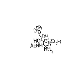 CCCC(=O)OC[C@@H](O)[C@@H](O)C1O[C@@](F)(C(=O)O)CC(N)[C@H]1NC(C)=O